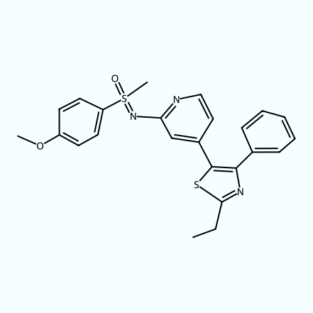 CCc1nc(-c2ccccc2)c(-c2ccnc(N=S(C)(=O)c3ccc(OC)cc3)c2)s1